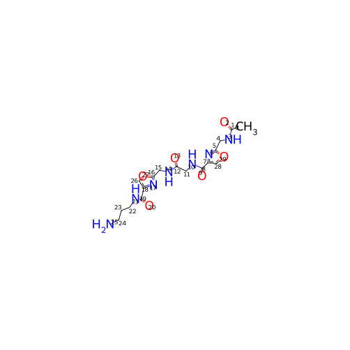 CC(=O)NCc1nc(C(=O)NCC(=O)NCc2nc(C(=O)NCCCN)co2)co1